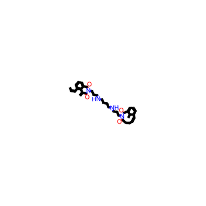 C=C1C(=O)N(CCCNCCCCNCCCN2C(=O)CC/C=C\C3C=CC=C(C2=O)C3C)C(=O)c2cccc(/C=C\C)c21